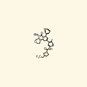 Cc1ccc(NC(=O)N2CC[C@@H](CC(F)(F)F)C2)cc1C1=CC(c2cccnc2)N(C(=O)OC(C)(C)C)C(N2CCOCC2)C1